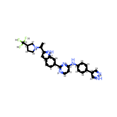 C=C(c1cc2ccc(-c3nccc(Nc4ccc(-c5cn[nH]c5)cc4)n3)cc2[nH]1)N1CCC(C(F)(F)F)C1